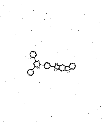 c1ccc(-c2cc(-c3ccccc3)nc(-c3ccc(-c4nc5cc6c(cc5o4)oc4ccccc46)cc3)n2)cc1